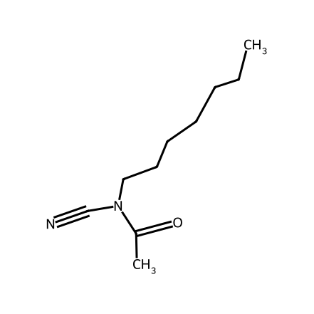 CCCCCCCN(C#N)C(C)=O